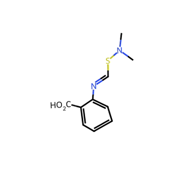 CN(C)SC=Nc1ccccc1C(=O)O